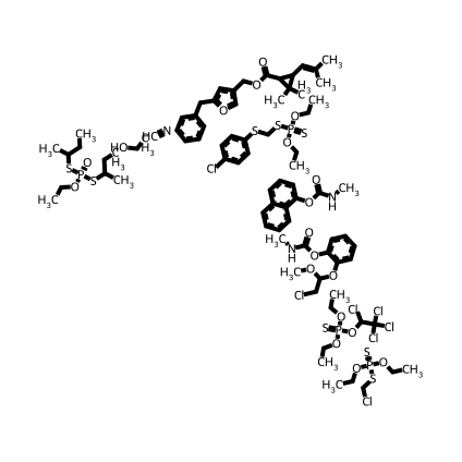 C#N.CC(C)=CC1C(C(=O)OCc2coc(Cc3ccccc3)c2)C1(C)C.CCO.CCOP(=O)(SC(C)CC)SC(C)CC.CCOP(=S)(OCC)OC(Cl)C(Cl)(Cl)Cl.CCOP(=S)(OCC)SCCl.CCOP(=S)(OCC)SCSc1ccc(Cl)cc1.CNC(=O)Oc1cccc2ccccc12.CNC(=O)Oc1ccccc1OC(CCl)OC